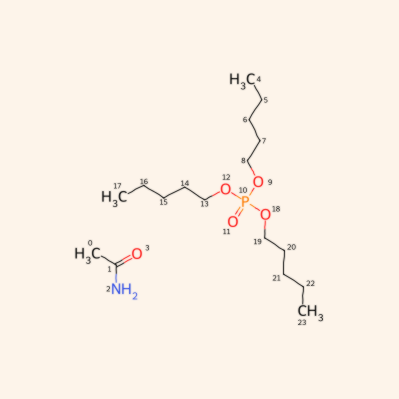 CC(N)=O.CCCCCOP(=O)(OCCCCC)OCCCCC